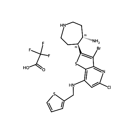 N[C@H]1CCNCC[C@@H]1c1sc2c(NCc3cccs3)cc(Cl)nc2c1Br.O=C(O)C(F)(F)F